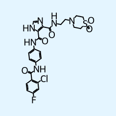 O=C(Nc1ccc(NC(=O)c2[nH]cnc2C(=O)NCCN2CCS(=O)(=O)CC2)cc1)c1ccc(F)cc1Cl